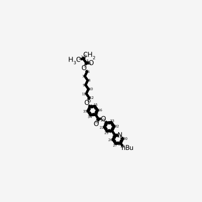 C=C(C)C(=O)OCCCCCCCOc1ccc(C(=O)Oc2ccc(-c3ccc(CCCC)cn3)cc2)cc1